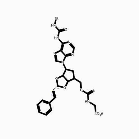 CCNC(=O)Nc1ncnc2c1ncn2C1CC(COC(=S)NCC(=O)O)C2O[C@H](/C=C/c3ccccc3)OC21